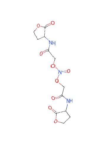 O=C(CO[N+](=O)OCC(=O)NC1CCOC1=O)NC1CCOC1=O